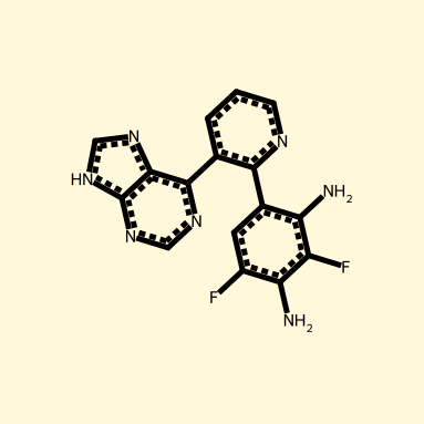 Nc1c(F)cc(-c2ncccc2-c2ncnc3[nH]cnc23)c(N)c1F